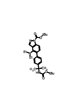 CCN(CC)c1c(-c2ccc(C(C)(C)NC(=O)OC(C)(C)C)cc2)ccc2c1cnn2C(=O)OC(C)(C)C